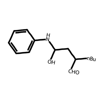 CCCCC(C=O)CC(O)Nc1ccccc1